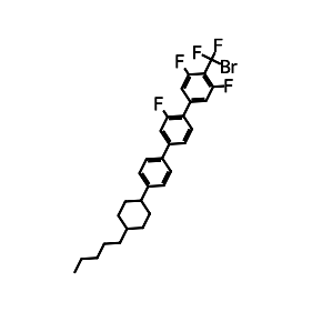 CCCCCC1CCC(c2ccc(-c3ccc(-c4cc(F)c(C(F)(F)Br)c(F)c4)c(F)c3)cc2)CC1